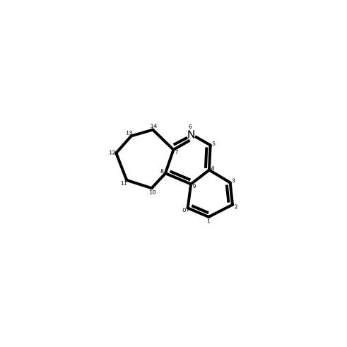 [c]1cccc2cnc3c(c12)CCCCC3